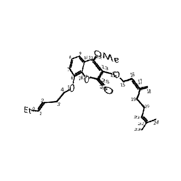 CCC=CCCOc1cccc2c(OC)c(OCC=C(C)CCC=C(C)C)c(=O)oc12